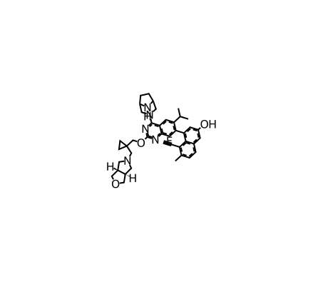 C#Cc1c(C)ccc2cc(O)cc(-c3c(C(C)C)cc4c(N5CC6CCC(C5)N6)nc(OCC5(CN6C[C@H]7COC[C@@H]7C6)CC5)nc4c3F)c12